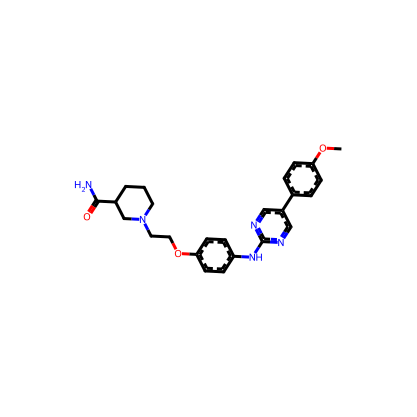 COc1ccc(-c2cnc(Nc3ccc(OCCN4CCCC(C(N)=O)C4)cc3)nc2)cc1